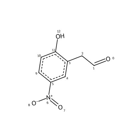 O=CCc1cc([N+](=O)[O-])ccc1O